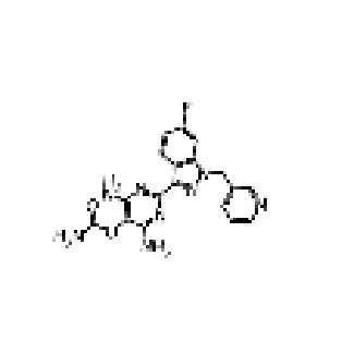 NC(=O)Oc1c(N)nc(-c2nn(Cc3cccnc3)c3cc(F)ccc23)nc1N